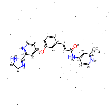 O=C(C=Cc1cccc(Oc2ccnc(C3=NCCN3)c2)c1)Nc1ccnc(C(F)(F)F)c1